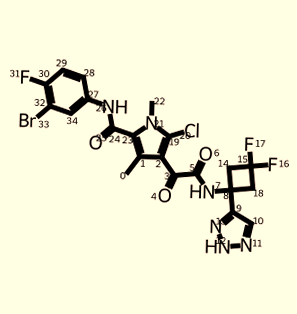 Cc1c(C(=O)C(=O)NC2(c3cn[nH]n3)CC(F)(F)C2)c(Cl)n(C)c1C(=O)Nc1ccc(F)c(Br)c1